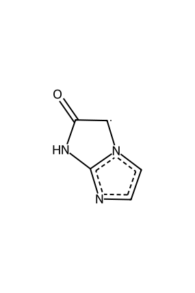 O=C1[CH]n2ccnc2N1